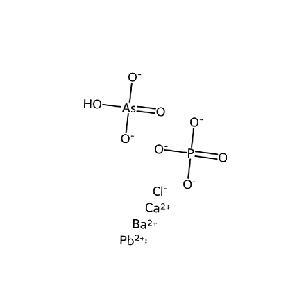 O=P([O-])([O-])[O-].O=[As]([O-])([O-])O.[Ba+2].[Ca+2].[Cl-].[Pb+2]